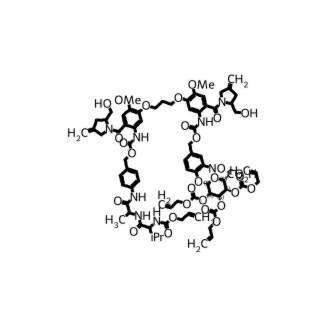 C=CCOC(=O)NC(C(=O)NC(C)C(=O)Nc1ccc(COC(=O)Nc2cc(OCCCOc3cc(NC(=O)OCc4ccc(O[C@@H]5O[C@H](C(=O)O)[C@@H](OC(=O)OCC=C)[C@H](OC(=O)OCC=C)[C@H]5OC(=O)OCC=C)c([N+](=O)[O-])c4)c(C(=O)N4CC(=C)CC4CO)cc3OC)c(OC)cc2C(=O)N2CC(=C)CC2CO)cc1)C(C)C